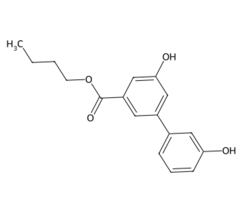 CCCCOC(=O)c1cc(O)cc(-c2cccc(O)c2)c1